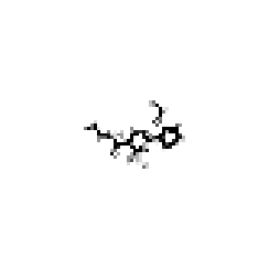 CCCNC(=O)c1cnc(-c2ccccc2OCC)nc1N